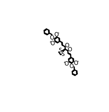 COc1cc(C=CC(=O)C(C(=O)C=Cc2cc(OC)c(OCc3ccccc3)c(OC)c2)=C2SCCS2)cc(OC)c1OCc1ccccc1